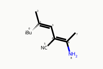 CC[C@@H](C)/C(C)=C\C(C#N)=C(/C)N